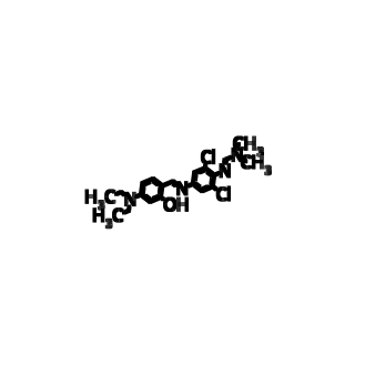 CCN(CC)c1ccc(C=Nc2cc(Cl)c(N=CN(C)C)c(Cl)c2)c(O)c1